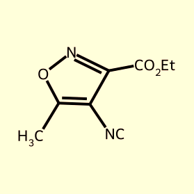 [C-]#[N+]c1c(C(=O)OCC)noc1C